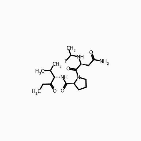 CCC(=O)[C@@H](NC(=O)[C@@H]1CCCN1C(=O)[C@H](CC(N)=O)NC(C)I)C(C)C